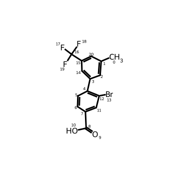 Cc1cc(-c2ccc(C(=O)O)cc2Br)cc(C(F)(F)F)c1